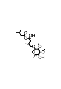 CO[C@@H]1[C@H](O)[C@@H](C)O[C@@H](OC[C@H](C)C[C@@H](O)OC(=O)CC(C)C)[C@@H]1OC